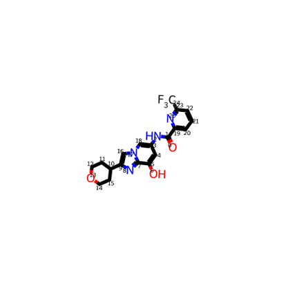 O=C(Nc1cc(O)c2nc(C3CCOCC3)cn2c1)c1cccc(C(F)(F)F)n1